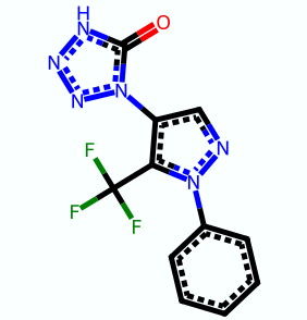 O=c1[nH]nnn1-c1cnn(-c2ccccc2)c1C(F)(F)F